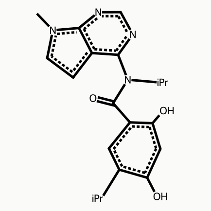 CC(C)c1cc(C(=O)N(c2ncnc3c2ccn3C)C(C)C)c(O)cc1O